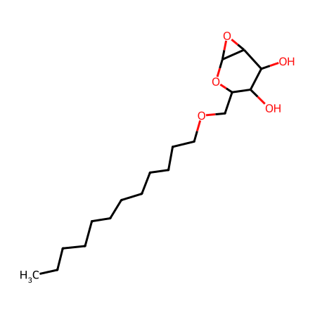 CCCCCCCCCCCCOCC1OC2OC2C(O)C1O